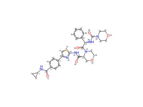 O=C(NC1CC1)c1ccc(-c2csc(NC(=O)[C@@H]3COCCN3C(=O)[C@H](NC(=O)N3CCOCC3)c3ccccc3)n2)cc1